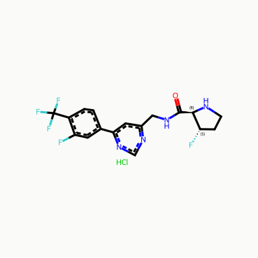 Cl.O=C(NCc1cc(-c2ccc(C(F)(F)F)c(F)c2)ncn1)[C@H]1NCC[C@@H]1F